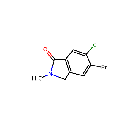 CCc1cc2c(cc1Cl)C(=O)N(C)C2